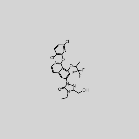 CCn1c(CO)nn(-c2cc(OC(C)C(F)(F)F)c3c(Oc4nc(Cl)ccc4Cl)nccc3c2)c1=O